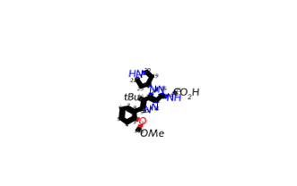 COCOc1ccccc1-c1nnc2c(NC(=O)O)nn(C3CCNCC3)c2c1C(C)(C)C